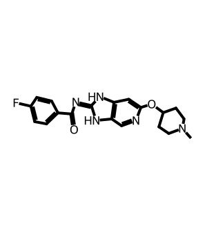 CN1CCC(Oc2cc3[nH]/c(=N/C(=O)c4ccc(F)cc4)[nH]c3cn2)CC1